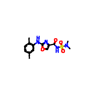 Cc1ccc(C)c(Nc2nc(C(=O)NS(=O)(=O)N(C)C)co2)c1